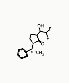 C[C@H](c1ccccc1)N1CCC(C(O)C(F)F)C1=O